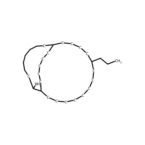 BC1CCCCCCCC2CCCCCC1CCCCCCCCC(CCC)CCCC2